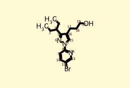 CCC(CC)c1nn(-c2ccc(Br)cn2)cc1CCCO